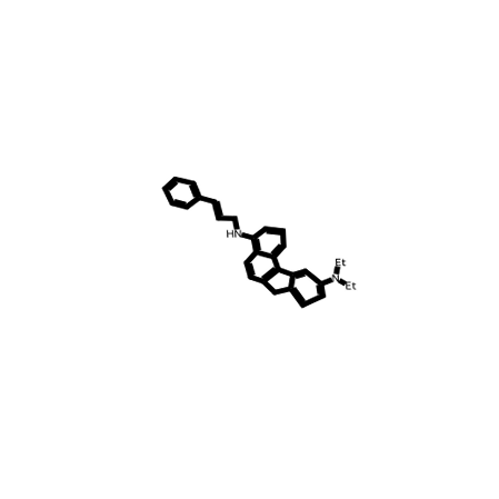 CCN(CC)c1ccc2c(c1)-c1c(ccc3c(NCC=Cc4ccccc4)cccc13)C2